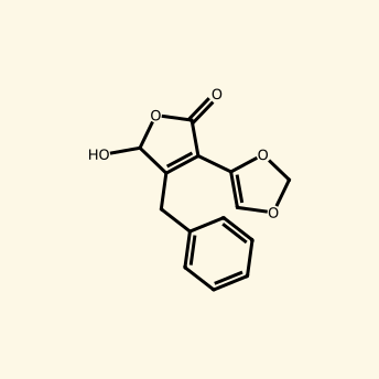 O=C1OC(O)C(Cc2ccccc2)=C1C1=COCO1